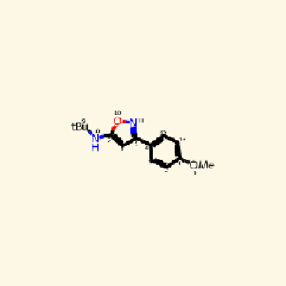 COc1ccc(-c2cc(NC(C)(C)C)on2)cc1